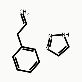 C=CCc1ccccc1.c1c[nH]nn1